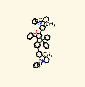 CC12CCCCC1(C)N(c1ccccc1)c1cc(-c3cc4c(c5c3oc3ccccc35)-c3ccc(-c5ccc6c(c5)C5(C)CCCCC5(C)N6c5ccccc5)cc3C4(c3ccccc3)c3ccccc3)ccc12